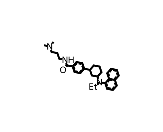 CCN(c1cccc2ccccc12)C1CCCC(c2ccc(C(=O)NCCCN(C)C)cc2)C1